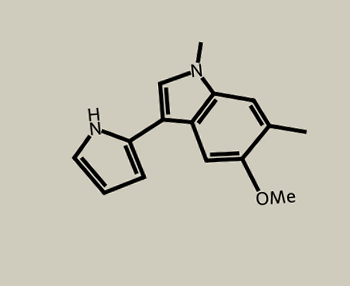 COc1cc2c(-c3ccc[nH]3)cn(C)c2cc1C